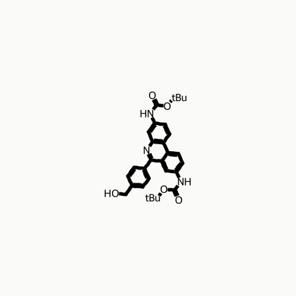 CC(C)(C)OC(=O)Nc1ccc2c(c1)nc(-c1ccc(CO)cc1)c1cc(NC(=O)OC(C)(C)C)ccc12